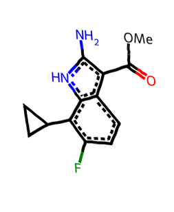 COC(=O)c1c(N)[nH]c2c(C3CC3)c(F)ccc12